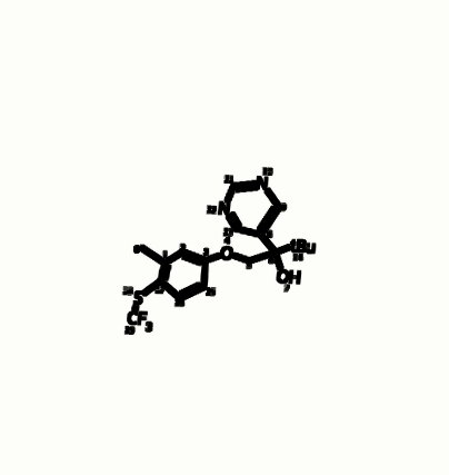 Cc1cc(OCC(O)(c2cncnc2)C(C)(C)C)ccc1SC(F)(F)F